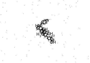 CC1C(c2ccc(C(=O)O)c(F)c2)=CC[C@@]2(C)C1CC[C@]1(C)C2CCC2C3CCCC3(NCCN3CC[S+]([O-])CC3)CC[C@]21C